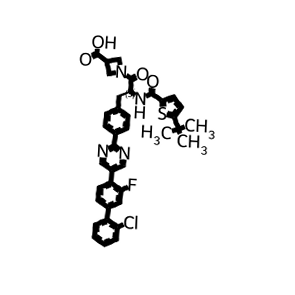 CC(C)(C)c1ccc(C(=O)N[C@@H](Cc2ccc(-c3ncc(-c4ccc(-c5ccccc5Cl)cc4F)cn3)cc2)C(=O)N2CC(C(=O)O)C2)s1